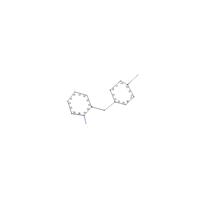 [CH2]c1ccc(Cc2ccccc2N)cc1